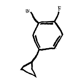 Fc1c[c]c(C2CC2)cc1Br